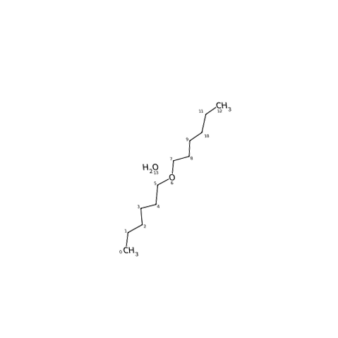 CCCCCCOCCCCCC.O